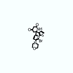 O=C1CC(=O)NC(c2ccsc2)(c2ccc(N3CCOCC3)c(Br)n2)C1